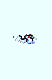 C=C(/C=C\C)\C=C/C(=C\C(=C)/C=C\C)C1=N/C=C\CNCNC\1=C